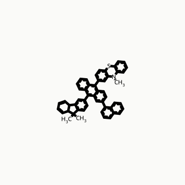 CN1c2ccccc2Sc2ccc(-c3c4ccccc4c(-c4ccc5c(c4)C4C=CC=CC4C5(C)C)c4cc(-c5cccc6ccccc56)ccc34)cc21